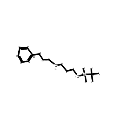 CC(C)(C)[Si](C)(C)OCCCOCCCc1ccccc1